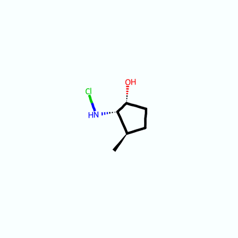 C[C@@H]1CC[C@@H](O)[C@H]1NCl